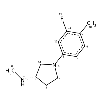 CN[C@H]1CCN(c2ccc(C)c(F)c2)C1